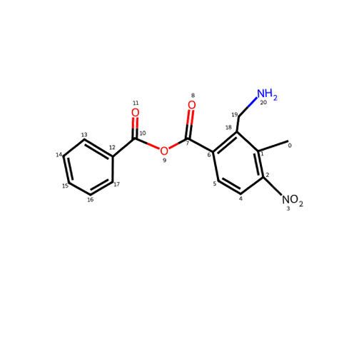 Cc1c([N+](=O)[O-])ccc(C(=O)OC(=O)c2ccccc2)c1CN